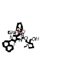 CN1CCCC1(CO)COc1nc(N2CC3CCC(C2)N3C(=O)OC(C)(C)C)c2cnc(-c3cccc4ccccc34)c(F)c2n1